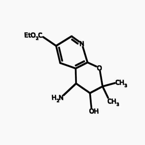 CCOC(=O)c1cnc2c(c1)C(N)C(O)C(C)(C)O2